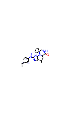 C\C=C/C=C\C(=C/C)Nc1ncc2c(n1)N1C(CC2C)C(=O)NCC12CCCC2